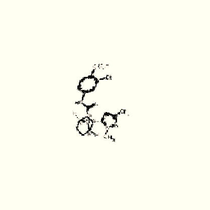 CCc1cc(NC(=O)[C@H]2[C@H](c3cc(C(F)(F)F)nn3C)[C@@H]3CC[C@@H]2O3)ccc1C(=O)O